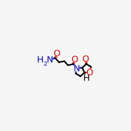 NC(=O)CCCC(=O)N1CC[C@@H]2OCC(=O)C21